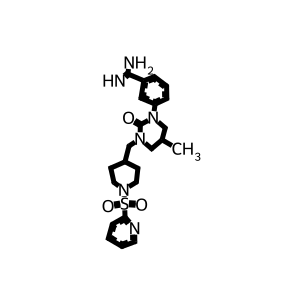 CC1CN(CC2CCN(S(=O)(=O)c3ccccn3)CC2)C(=O)N(c2cccc(C(=N)N)c2)C1